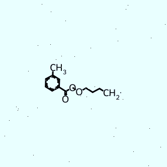 [CH2]CCCOOC(=O)c1cccc(C)c1